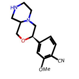 COc1cc([C@@H]2CN3CCNCC3CO2)ccc1C#N